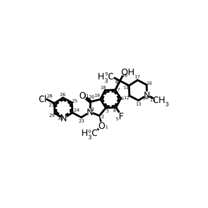 CO[C@@H]1c2c(F)cc(C(C)(O)C3CCN(C)CC3)cc2C(=O)N1Cc1ccc(Cl)cn1